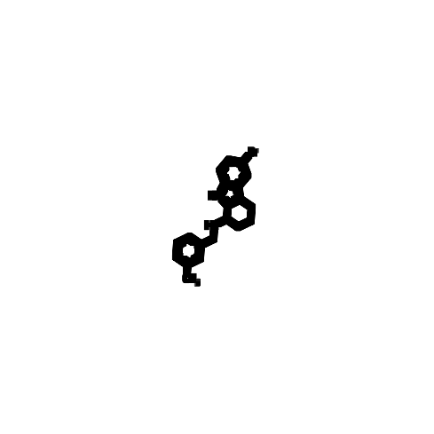 Cc1cccc(CNC2CCCc3c2[nH]c2ccc(Br)cc32)c1